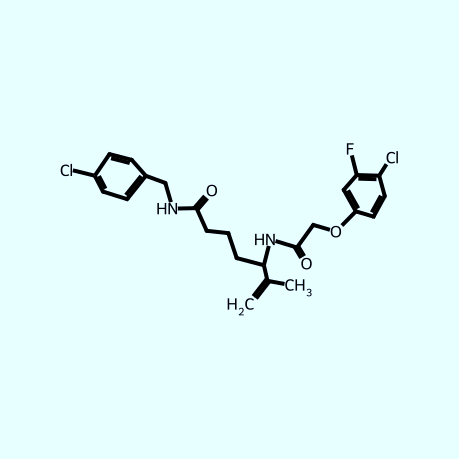 C=C(C)C(CCCC(=O)NCc1ccc(Cl)cc1)NC(=O)COc1ccc(Cl)c(F)c1